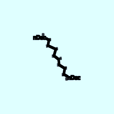 [CH2]CCCCCCCCCCCCCCCCCCCCCCCCCCC